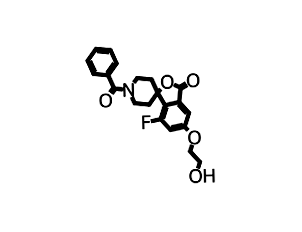 O=C1OC2(CCN(C(=O)c3ccccc3)CC2)c2c(F)cc(OCCO)cc21